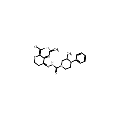 C=C/N=C1C(=N\NC(=S)N2CCN(c3ccccc3)C(C)C2)/CCOC/1=C(/C)Cl